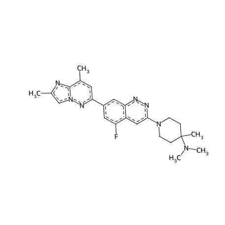 Cc1cn2nc(-c3cc(F)c4cc(N5CCC(C)(N(C)C)CC5)nnc4c3)cc(C)c2n1